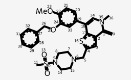 C=C1c2cc(CN3CCN(S(C)(=O)=O)CC3)sc2C(c2ccc(OC)c(OCc3ccccc3)c2)=CN1C